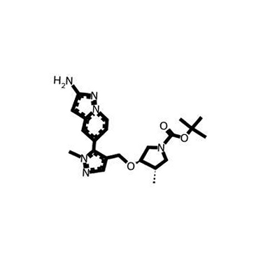 C[C@H]1CN(C(=O)OC(C)(C)C)C[C@H]1OCc1cnn(C)c1-c1ccn2nc(N)cc2c1